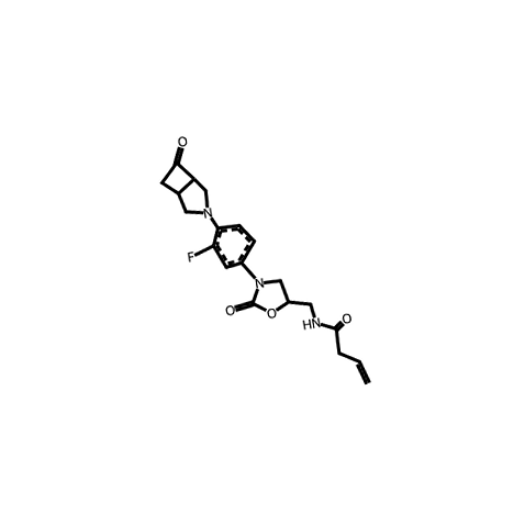 C=CCC(=O)NCC1CN(c2ccc(N3CC4CC(=O)C4C3)c(F)c2)C(=O)O1